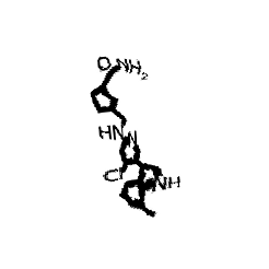 Cc1cccc2c(-c3cnc(NCC4CCC(C(N)=O)C4)cc3Cl)c[nH]c12